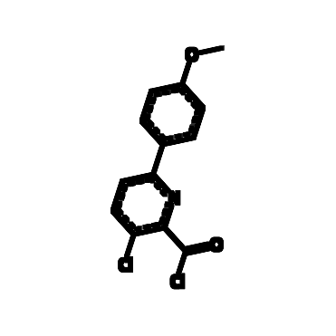 COc1ccc(-c2ccc(Cl)c(C(=O)Cl)n2)cc1